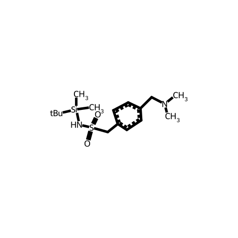 CN(C)Cc1ccc(CS(=O)(=O)N[Si](C)(C)C(C)(C)C)cc1